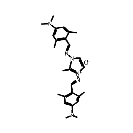 Cc1cc(N(C)C)cc(C)c1C=Nn1cc[n+](N=Cc2c(C)cc(N(C)C)cc2C)c1C.[Cl-]